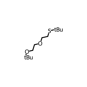 CC(C)(C)OCCOCCSC(C)(C)C